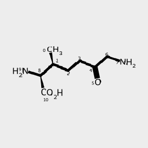 C[C@@H](CCC(=O)CN)[C@H](N)C(=O)O